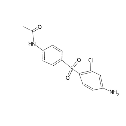 CC(=O)Nc1ccc(S(=O)(=O)c2ccc(N)cc2Cl)cc1